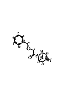 O=C(COCc1ccccc1)N1C2CNCC1C2